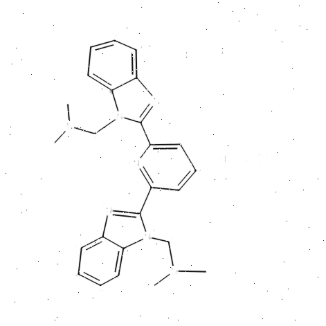 CN(C)Cn1c(-c2cccc(-c3nc4ccccc4n3CN(C)C)n2)nc2ccccc21.[Cl-].[Cl-].[Cl-].[Fe+3]